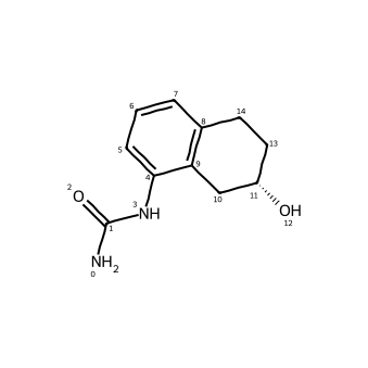 NC(=O)Nc1cccc2c1C[C@@H](O)CC2